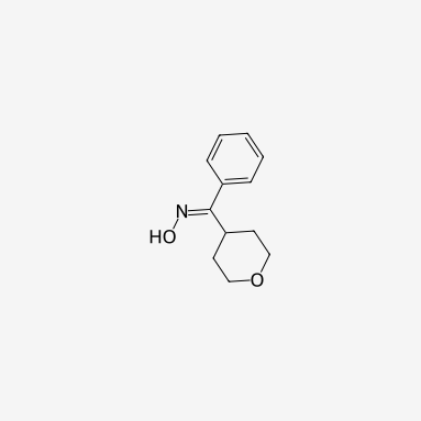 O/N=C(/c1ccccc1)C1CCOCC1